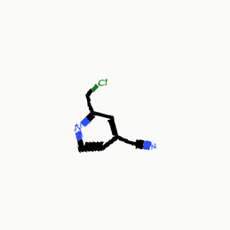 N#Cc1ccnc(CCl)c1